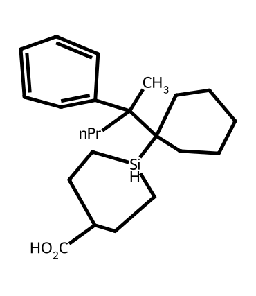 CCCC(C)(c1ccccc1)C1([SiH]2CCC(C(=O)O)CC2)CCCCC1